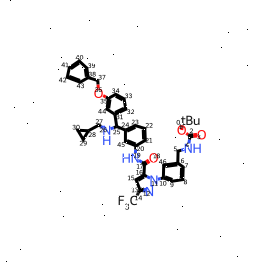 CC(C)(C)OC(=O)NCc1cccc(-n2nc(C(F)(F)F)cc2C(=O)Nc2cccc(C(NCC3CC3)c3cccc(OCc4ccccc4)c3)c2)c1